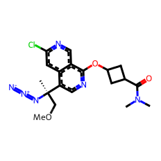 COC[C@@](C)(N=[N+]=[N-])c1cnc(OC2CC(C(=O)N(C)C)C2)c2cnc(Cl)cc12